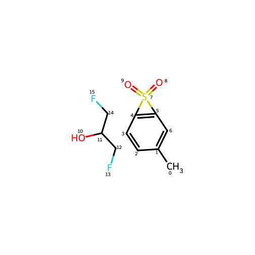 Cc1ccc2c(c1)S2(=O)=O.OC(CF)CF